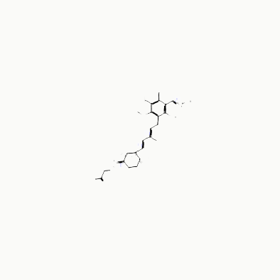 COc1c(Cl)c(C)c(/C=N/O)c(O)c1C/C=C(C)/C=C/[C@@]1(C)[C@H](C)CC/C(=N\OCC(=O)O)[C@@H]1C